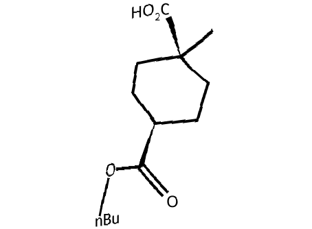 CCCCOC(=O)[C@H]1CC[C@@](C)(C(=O)O)CC1